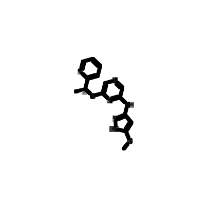 COc1cc(Nc2cncc(O[C@@H](C)c3ccccn3)n2)n[nH]1